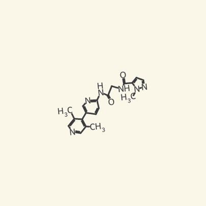 Cc1cncc(C)c1-c1ccc(NC(=O)CNC(=O)c2ccnn2C)nc1